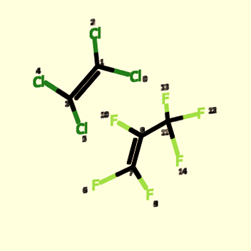 ClC(Cl)=C(Cl)Cl.FC(F)=C(F)C(F)(F)F